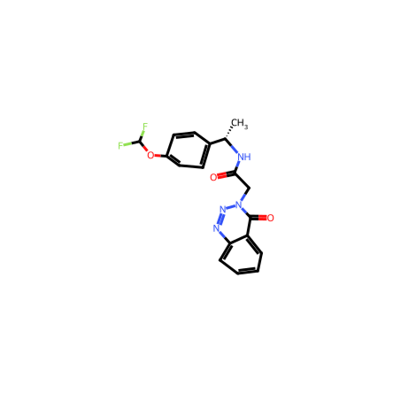 C[C@H](NC(=O)Cn1nnc2ccccc2c1=O)c1ccc(OC(F)F)cc1